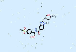 CCn1c(C[C@@H]2CC[C@@H](C(F)(F)F)OC2)nc2cc(C(=O)NC(CO)c3ccc(S(=O)(=O)CC)cc3)ccc21